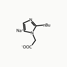 CCCCc1nccn1CC(=O)[O-].[Na+]